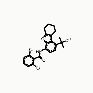 CC(C)(O)c1ccc(NC(=O)c2c(Cl)cccc2Cl)c2oc3c(c12)CCCC3